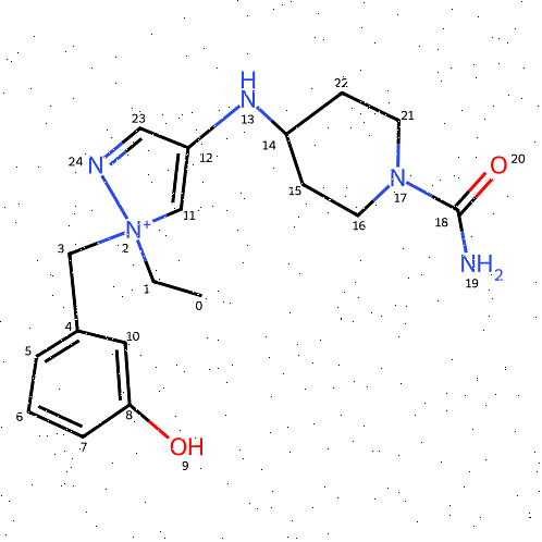 CC[N+]1(Cc2cccc(O)c2)C=C(NC2CCN(C(N)=O)CC2)C=N1